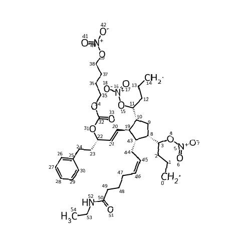 [CH2]CCC(O[N+](=O)[O-])[C@H]1C[C@@H](C(CC[CH2])O[N+](=O)[O-])[C@H](/C=C/[C@H](CCc2ccccc2)OC(=O)OCCCCO[N+](=O)[O-])[C@H]1C/C=C\CCCC(=O)NCC